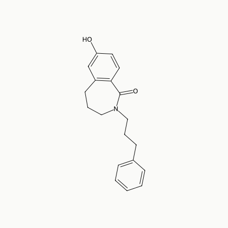 O=C1c2ccc(O)cc2CCCN1CCCc1ccccc1